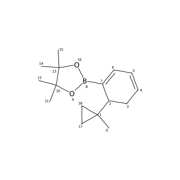 CC1(C2CC=CC=C2B2OC(C)(C)C(C)(C)O2)CC1